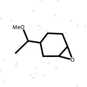 CO[C](C)C1CCC2OC2C1